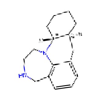 c1cc2c3c(c1)C[C@@H]1CCCC[C@H]1N3CCNC2